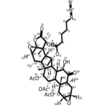 CC(=O)O[C@H]1[C@H]2[C@H]([C@@H]3[C@@]4(OC(=O)CCCCN=[N+]=[N-])C[C@@]5([C@H](C)[C@H]6O[C@]67OC(=O)[C@@](C)(O)[C@]7(C)[C@H]45)[C@@]3(C)[C@H]1OC(C)=O)[C@@H](O)C(=O)[C@H]1C[C@@H]3O[C@@H]3[C@H](OC(C)=O)[C@]21C